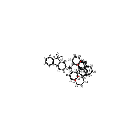 CC1(C)c2ccccc2-c2ccc(N(c3ccccc3-c3cccc4cccc(C5CCCCC5)c34)c3cccc4oc5ccccc5c34)cc21